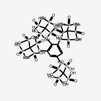 O=P(O)(O)C(P(=O)(O)O)(P(=O)(O)O)P(=O)(O)Oc1cc(OP(=O)(O)C(P(=O)(O)O)(P(=O)(O)O)P(=O)(O)O)c(OP(=O)(O)C(P(=O)(O)O)(P(=O)(O)O)P(=O)(O)O)c(OP(=O)(O)C(P(=O)(O)O)(P(=O)(O)O)P(=O)(O)O)c1